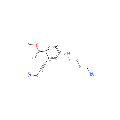 COC(=O)c1ccc(NCCCCN)cc1C#CCN